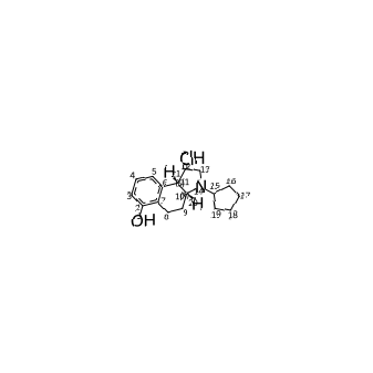 Cl.Oc1cccc2c1CC[C@@H]1[C@H]2CCN1C1CCCC1